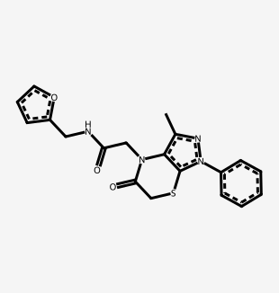 Cc1nn(-c2ccccc2)c2c1N(CC(=O)NCc1ccco1)C(=O)CS2